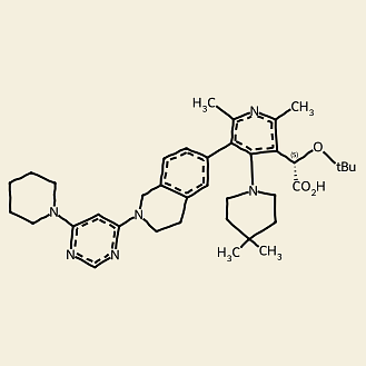 Cc1nc(C)c([C@H](OC(C)(C)C)C(=O)O)c(N2CCC(C)(C)CC2)c1-c1ccc2c(c1)CCN(c1cc(N3CCCCC3)ncn1)C2